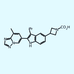 Cc1cc(-c2[nH]c3ccc(C4CN(C(=O)O)C4)cc3c2C(C)C)cn2ncnc12